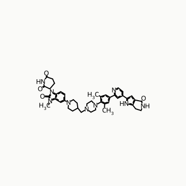 Cc1cc(-c2cc(-c3cc4c([nH]3)CCNC4=O)ccn2)cc(C)c1N1CCN(CC2CCN(c3ccc4c(c3)n(C)c(=O)n4C3CCC(=O)NC3=O)CC2)CC1